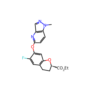 CCOC(=O)[C@H]1CCc2cc(F)c(Oc3ccc4c(cnn4C)n3)cc2O1